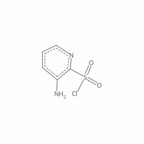 Nc1cccnc1S(=O)(=O)Cl